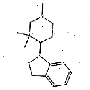 CN1CCC(N2CCc3cc[c]cc32)C(C)(C)C1